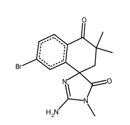 CN1C(=O)C2(CC(C)(C)C(=O)c3ccc(Br)cc32)N=C1N